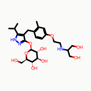 Cc1cc(OCCNC(CO)CO)ccc1Cc1c(O[C@@H]2O[C@H](CO)[C@@H](O)[C@H](O)[C@H]2O)n[nH]c1C(C)C